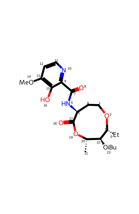 CC[C@H]1OCC[C@H](NC(=O)c2nccc(OC)c2O)C(=O)O[C@@H](C)[C@@H]1OCC(C)C